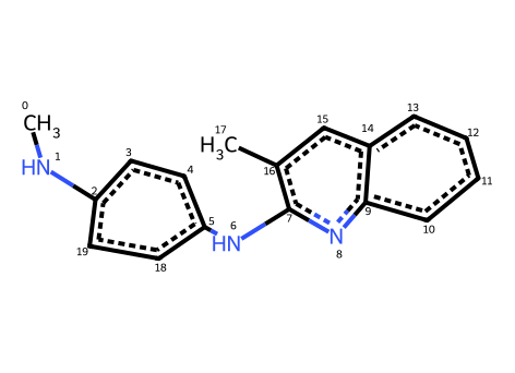 CNc1ccc(Nc2nc3ccccc3cc2C)cc1